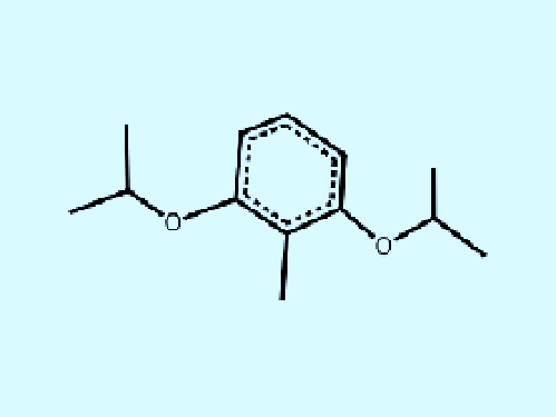 Cc1c(OC(C)C)cccc1OC(C)C